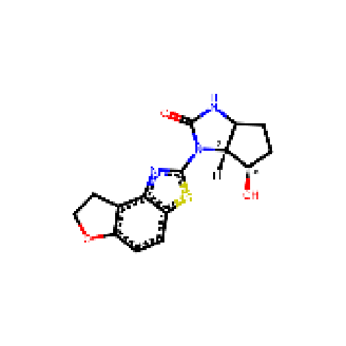 O=C1NC2CC[C@@H](O)[C@@H]2N1c1nc2c3c(ccc2s1)OCC3